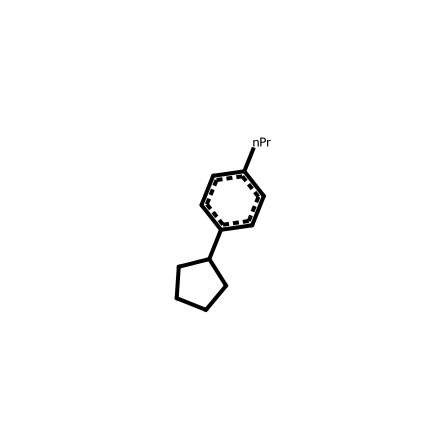 [CH2]CCc1ccc(C2CCCC2)cc1